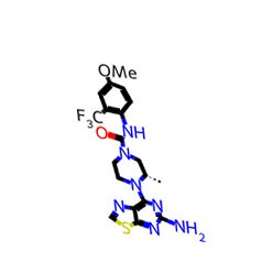 COc1ccc(NC(=O)N2CCN(c3nc(N)nc4scnc34)[C@@H](C)C2)c(C(F)(F)F)c1